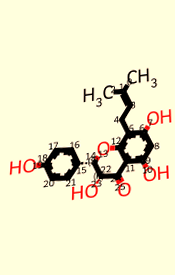 CC(C)=CCc1c(O)cc(O)c2c1O[C@@H](c1ccc(O)cc1)[C@@H](O)C2=O